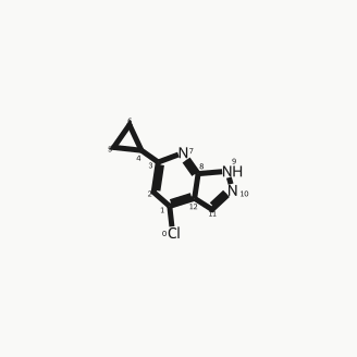 Clc1cc(C2CC2)nc2[nH]ncc12